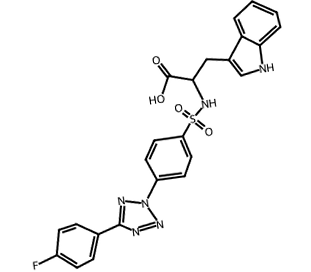 O=C(O)C(Cc1c[nH]c2ccccc12)NS(=O)(=O)c1ccc(-n2nnc(-c3ccc(F)cc3)n2)cc1